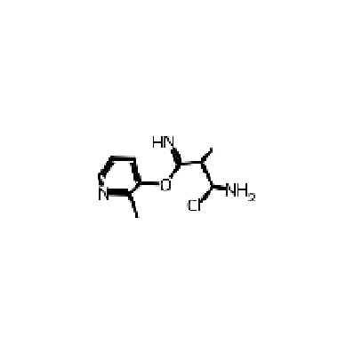 Cc1ncccc1OC(=N)C(C)C(N)Cl